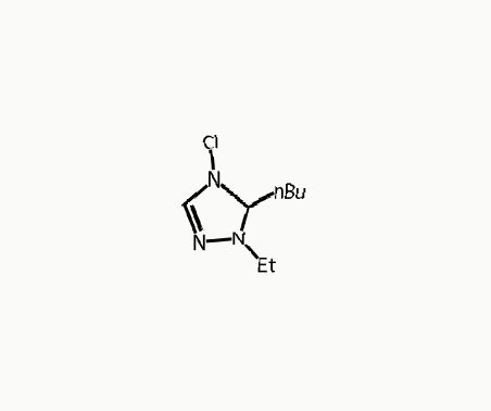 CCCCC1N(Cl)C=NN1CC